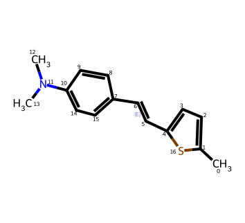 Cc1ccc(/C=C/c2ccc(N(C)C)cc2)s1